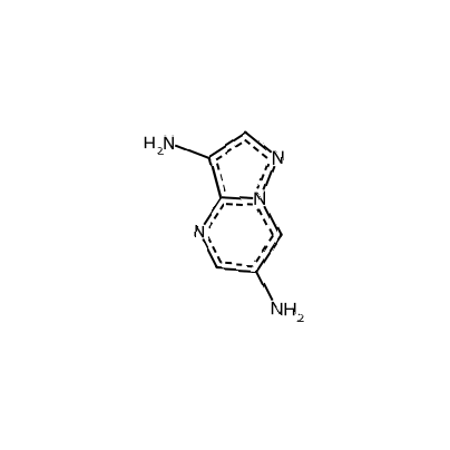 Nc1cnc2c(N)cnn2c1